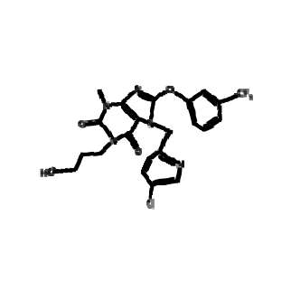 Cn1c(=O)n(CCCO)c(=O)c2c1nc(Oc1cccc(C(F)(F)F)c1)n2Cc1ccc(Cl)cn1